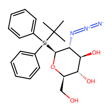 CC(C)(C)[Si](c1ccccc1)(c1ccccc1)[C@@H]1O[C@H](CO)[C@@H](O)[C@H](O)[C@H]1N=[N+]=[N-]